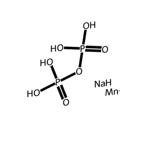 O=P(O)(O)OP(=O)(O)O.[Mn].[NaH]